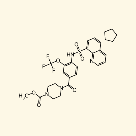 C1CCCC1.COC(=O)N1CCN(C(=O)c2ccc(NS(=O)(=O)c3cccc4cccnc34)c(OC(F)(F)F)c2)CC1